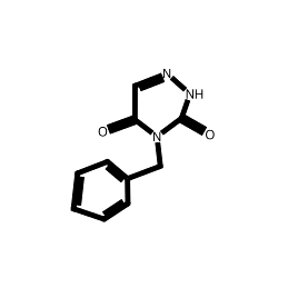 O=c1cn[nH]c(=O)n1Cc1ccccc1